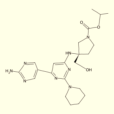 CC(C)OC(=O)N1CC[C@](CO)(Nc2cc(-c3cnc(N)nc3)nc(N3CCCCC3)n2)C1